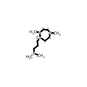 CN(C)CC[CH2][Ga]1[CH2]CN(C)CC[N]1C